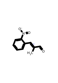 C/C([C]=O)=C\c1ccccc1[N+](=O)[O-]